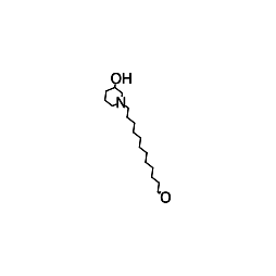 O=CCCCCCCCCCCCN1CCCC(O)C1